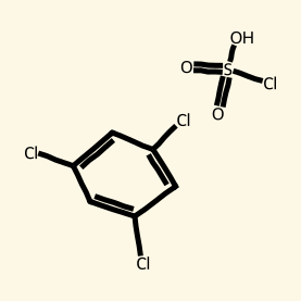 Clc1cc(Cl)cc(Cl)c1.O=S(=O)(O)Cl